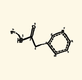 CC(C)BC(=O)Cc1cbccc1